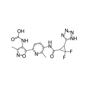 Cc1nc(-c2onc(C)c2NC(=O)O)ccc1NC(=O)C1C(c2nnn[nH]2)C1(F)F